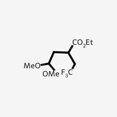 CCOC(=O)C(CC(OC)OC)CC(F)(F)F